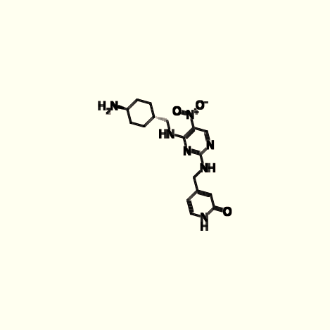 N[C@H]1CC[C@H](CNc2nc(NCc3cc[nH]c(=O)c3)ncc2[N+](=O)[O-])CC1